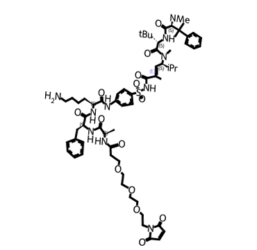 CN[C@H](C(=O)N[C@H](C(=O)N(C)[C@H](/C=C(\C)C(=O)NS(=O)(=O)c1ccc(NC(=O)[C@H](CCCCN)NC(=O)[C@H](Cc2ccccc2)NC(=O)[C@@H](C)NC(=O)CCOCCOCCOCCN2C(=O)C=CC2=O)cc1)C(C)C)C(C)(C)C)C(C)(C)c1ccccc1